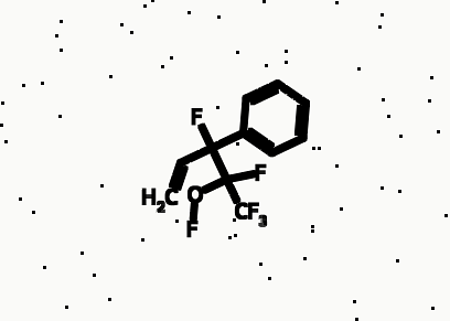 C=CC(F)(c1ccccc1)C(F)(OF)C(F)(F)F